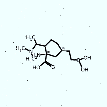 CC(C1CC[C@@H](CCB(O)O)C[C@]1(N)C(=O)O)N(C)C